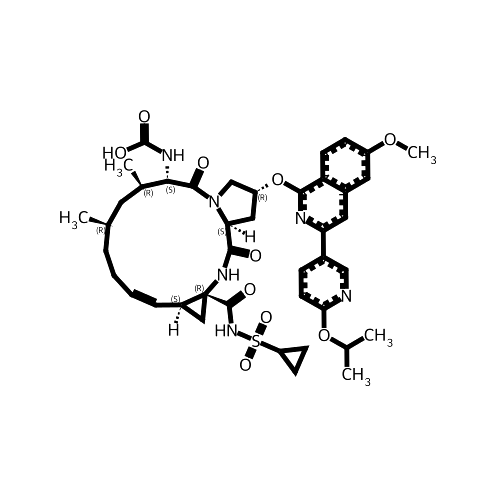 COc1ccc2c(O[C@@H]3C[C@H]4C(=O)N[C@]5(C(=O)NS(=O)(=O)C6CC6)C[C@H]5C=CCC[C@@H](C)C[C@@H](C)[C@H](NC(=O)O)C(=O)N4C3)nc(-c3ccc(OC(C)C)nc3)cc2c1